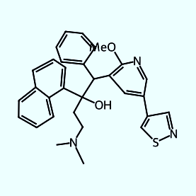 COc1ncc(-c2cnsc2)cc1C(c1ccccc1)C(O)(CCN(C)C)c1cccc2ccccc12